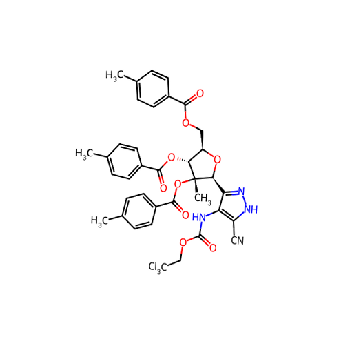 Cc1ccc(C(=O)OC[C@H]2O[C@@H](c3n[nH]c(C#N)c3NC(=O)OCC(Cl)(Cl)Cl)[C@](C)(OC(=O)c3ccc(C)cc3)[C@@H]2OC(=O)c2ccc(C)cc2)cc1